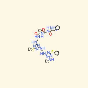 CCNc1nc(NCCNc2nc(NCCNC(=O)C(C)NC(=O)CNC(=O)C(N)Cc3ccccc3)nc(SCC)n2)nc(Sc2ccccc2)n1